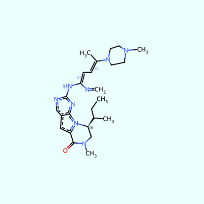 C=N/C(=C\C=C(/C)N1CCN(C)CC1)Nc1ncc2cc3n(c2n1)[C@@H](C(C)CC)CN(C)C3=O